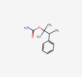 CC(c1ccccc1)C(C)(C)OC(N)=O